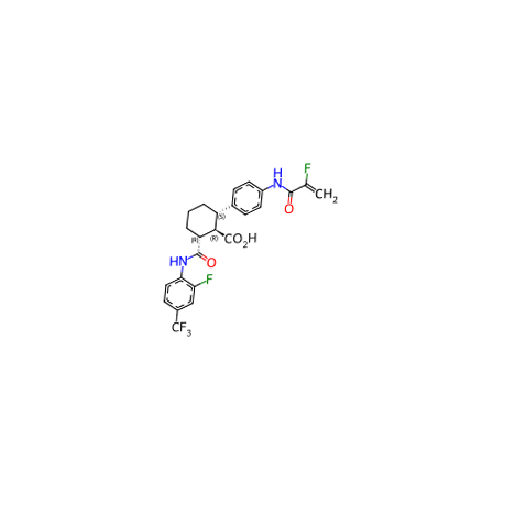 C=C(F)C(=O)Nc1ccc([C@H]2CCC[C@@H](C(=O)Nc3ccc(C(F)(F)F)cc3F)[C@@H]2C(=O)O)cc1